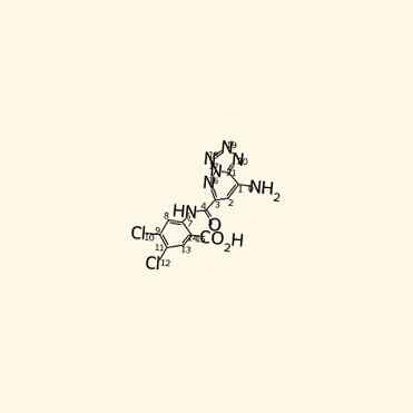 Nc1cc(C(=O)Nc2cc(Cl)c(Cl)cc2C(=O)O)nn2nnnc12